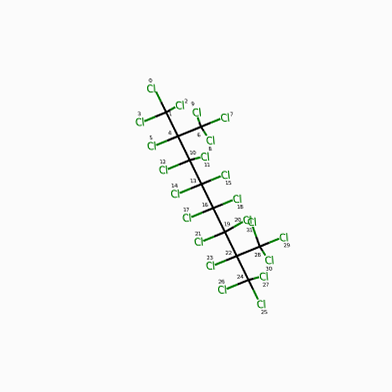 ClC(Cl)(Cl)C(Cl)(C(Cl)(Cl)Cl)C(Cl)(Cl)C(Cl)(Cl)C(Cl)(Cl)C(Cl)(Cl)C(Cl)(C(Cl)(Cl)Cl)C(Cl)(Cl)Cl